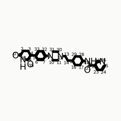 O=C1CCC(c2ccc(N3CCN(CCC4CCC(NC(=O)c5cccnc5)CC4)CC3)cc2)C(=O)N1